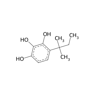 CCC(C)(C)c1ccc(O)c(O)c1O